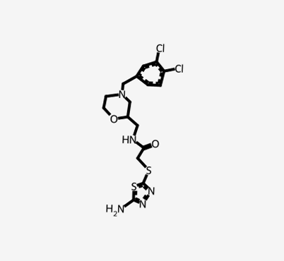 Nc1nnc(SCC(=O)NCC2CN(Cc3ccc(Cl)c(Cl)c3)CCO2)s1